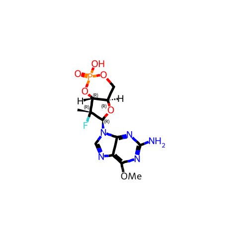 COc1nc(N)nc2c1ncn2[C@@H]1O[C@@H]2COP(=O)(O)O[C@H]2[C@@]1(C)F